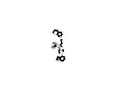 CCCCOP(=O)(OCCCC)OC[N+]1(CCCCOc2ccc3ccc(=O)[nH]c3c2)CCN(c2cccc3sccc23)CC1.[I-]